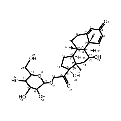 C[C@]12C=CC(=O)C=C1CC[C@@H]1[C@@H]2[C@@H](O)C[C@@]2(C)[C@H]1CC[C@]2(O)C(=O)COC1OC(CO)C(O)C(O)C1O